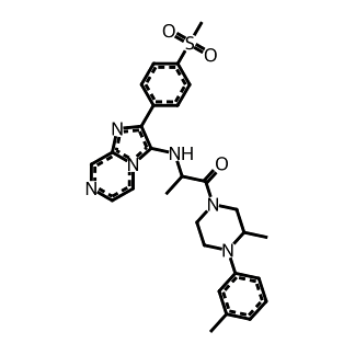 Cc1cccc(N2CCN(C(=O)C(C)Nc3c(-c4ccc(S(C)(=O)=O)cc4)nc4cnccn34)CC2C)c1